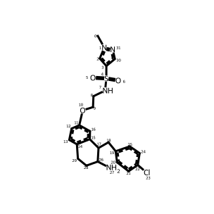 Cn1cc(S(=O)(=O)NCCOc2ccc3c(c2)C(Cc2ccc(Cl)cc2)C(N)CC3)cn1